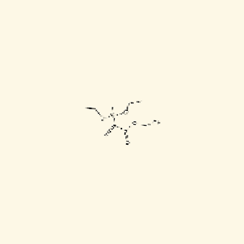 C=C(C(=O)OCO)[Si](C)(OCC)OCC